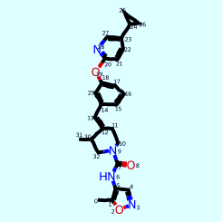 Cc1oncc1NC(=O)N1CCC(=Cc2cccc(Oc3ccc(C4CC4)cn3)c2)C(C)C1